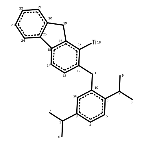 CC(C)c1ccc(C(C)C)c(Cc2ccc3c([c]2[Ti])Cc2ccccc2-3)c1